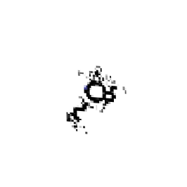 CC(=O)OC1CC2C(CC(OC(=O)C=Cc3cn(C)cn3)C/C=C\C1=O)C(C)=CCC2C(C)C